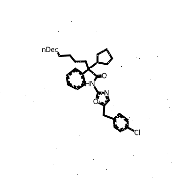 CCCCCCCCCCCCCCC(C(=O)Nc1ncc(Cc2ccc(Cl)cc2)o1)(c1ccccc1)C1CCCC1